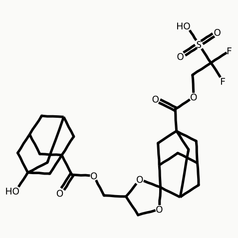 O=C(OCC(F)(F)S(=O)(=O)O)C12CC3CC(C1)C1(OCC(COC(=O)C45CC6CC(CC(O)(C6)C4)C5)O1)C(C3)C2